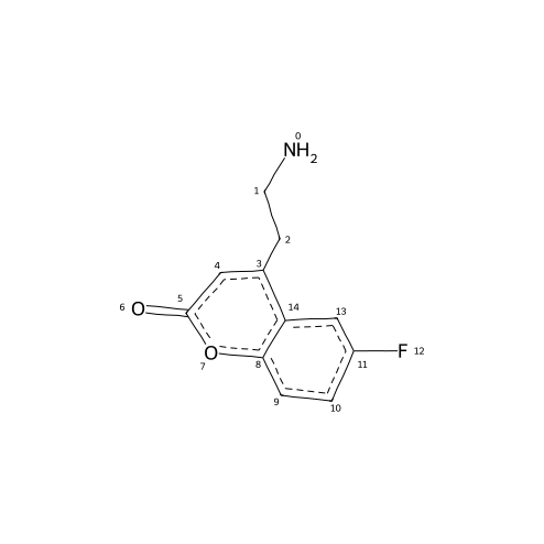 NCCc1cc(=O)oc2ccc(F)cc12